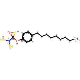 CCCCCCCCCc1ccc(OC2(N(S)S)OS2)cc1